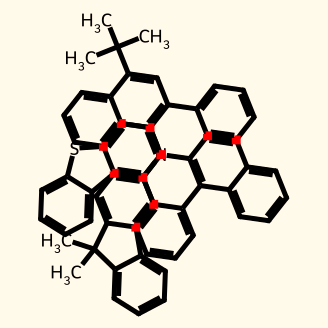 CC(C)(C)c1cc(-c2ccccc2)c(N(c2ccc3c(c2)-c2ccccc2C3(C)C)c2ccc3ccccc3c2-c2ccccc2-c2cccc3sc4ccccc4c23)c2ccccc12